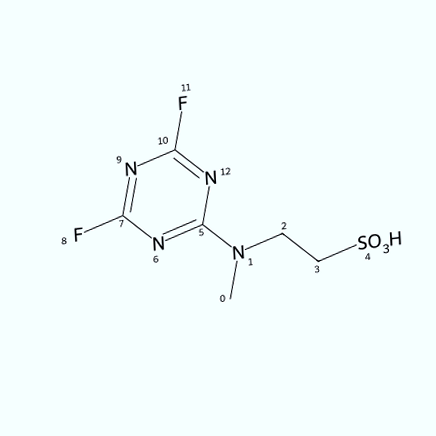 CN(CCS(=O)(=O)O)c1nc(F)nc(F)n1